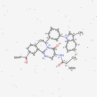 CNC(=O)c1ccc(C)c(-c2ncc(NC(=O)[C@H](C)NC)c(=O)n2Cc2cccc(-n3cc(C)c4cc(F)ccc43)c2)c1